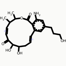 CC1/C=C\C(=O)C(O)C(O)C/C=C/c2cc(CCCO)cc(N)c2C(=O)OC1C